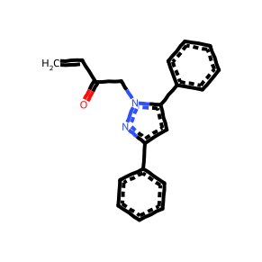 C=CC(=O)Cn1nc(-c2ccccc2)cc1-c1ccccc1